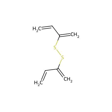 C=CC(=C)SSC(=C)C=C